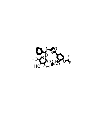 CC(C)Oc1cc(-c2nc(N(C)C(=O)c3ccccc3[C@@H]3O[C@H](C(=O)O)[C@@H](O)[C@@H](O)[C@H]3O)co2)ccc1OC(F)F